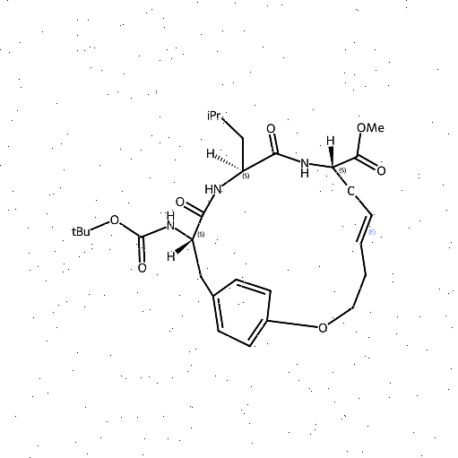 COC(=O)[C@@H]1C/C=C/CCOc2ccc(cc2)C[C@H](NC(=O)OC(C)(C)C)C(=O)N[C@@H](CC(C)C)C(=O)N1